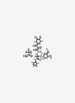 COc1ccc([C@@]23CC[C@@H](NC(=O)Nc4ccc(F)c(F)c4)C[C@@H]2N(Cc2ccsc2)CC3)cc1OC.O=C(O)C(F)(F)F